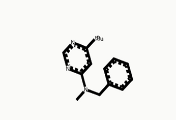 CN(Cc1ccccc1)c1cc(C(C)(C)C)ncn1